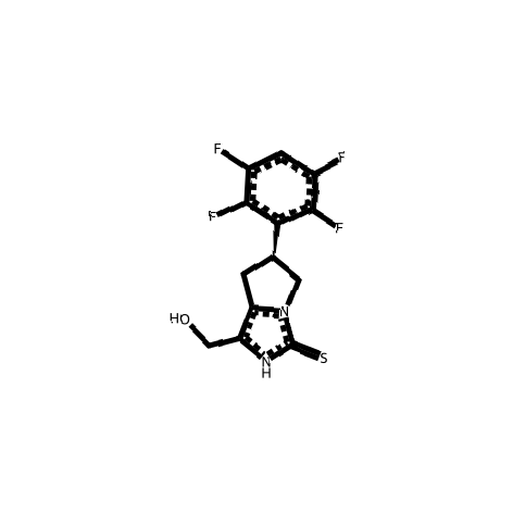 OCc1[nH]c(=S)n2c1C[C@@H](c1c(F)c(F)cc(F)c1F)C2